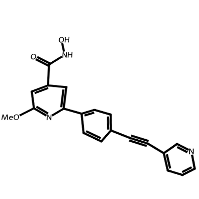 COc1cc(C(=O)NO)cc(-c2ccc(C#Cc3cccnc3)cc2)n1